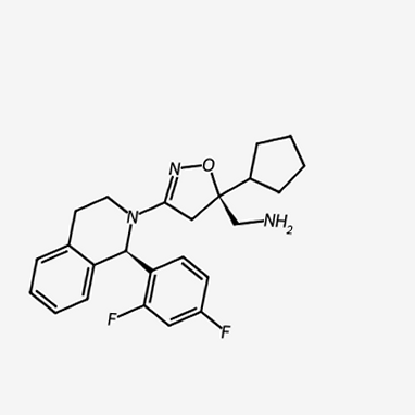 NC[C@@]1(C2CCCC2)CC(N2CCc3ccccc3[C@@H]2c2ccc(F)cc2F)=NO1